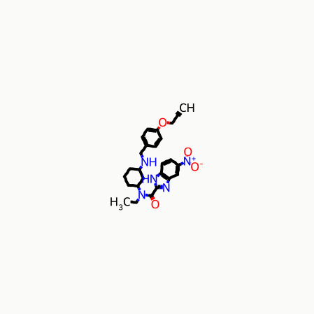 C#CCOc1ccc(CNC2CCCC(N(CC)C(=O)c3nc4cc([N+](=O)[O-])ccc4[nH]3)C2)cc1